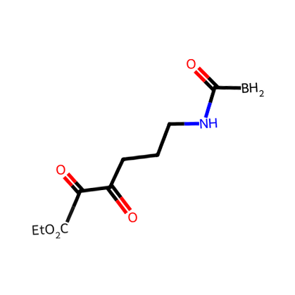 BC(=O)NCCCC(=O)C(=O)C(=O)OCC